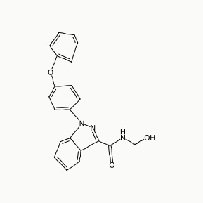 O=C(NCO)c1nn(-c2ccc(Oc3ccccc3)cc2)c2ccccc12